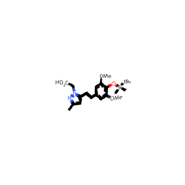 COc1cc(C=Cc2cc(C)nn2CC(=O)O)cc(OC)c1O[Si](C)(C)C(C)(C)C